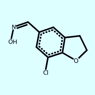 O/N=C\c1cc(Cl)c2c(c1)CCO2